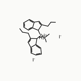 CCCC1=Cc2ccccc2[CH]1[Zr+2]([CH]1C(CCC)=Cc2ccccc21)[SiH](C)C.[I-].[I-]